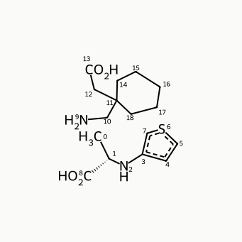 C[C@H](Nc1ccsc1)C(=O)O.NCC1(CC(=O)O)CCCCC1